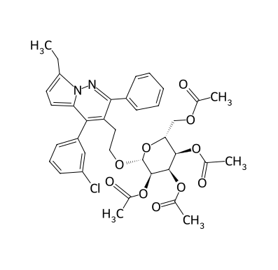 CCc1ccc2c(-c3cccc(Cl)c3)c(CCO[C@@H]3O[C@H](COC(C)=O)[C@@H](OC(C)=O)[C@@H](OC(C)=O)[C@H]3OC(C)=O)c(-c3ccccc3)nn12